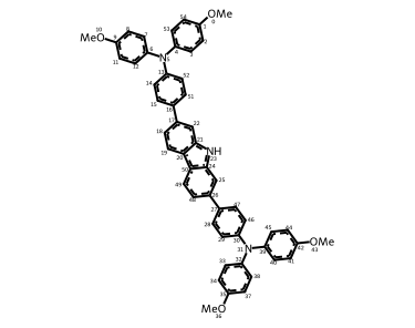 COc1ccc(N(c2ccc(OC)cc2)c2ccc(-c3ccc4c(c3)[nH]c3cc(-c5ccc(N(c6ccc(OC)cc6)c6ccc(OC)cc6)cc5)ccc34)cc2)cc1